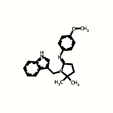 COc1ccc(N=C2CCC(C)(C)N2Cc2c[nH]c3ccccc23)cc1